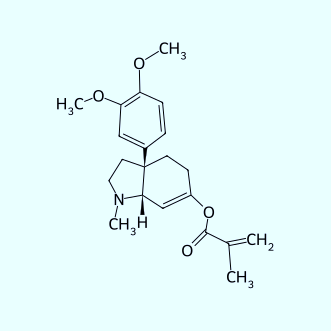 C=C(C)C(=O)OC1=C[C@@H]2N(C)CC[C@]2(c2ccc(OC)c(OC)c2)CC1